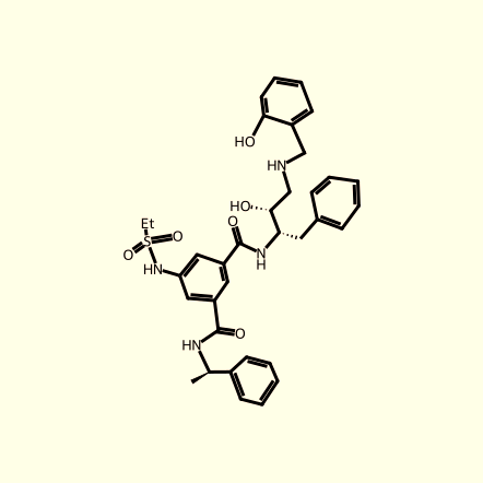 CCS(=O)(=O)Nc1cc(C(=O)N[C@@H](Cc2ccccc2)[C@H](O)CNCc2ccccc2O)cc(C(=O)N[C@H](C)c2ccccc2)c1